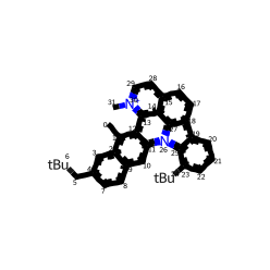 Cc1c2cc(CC(C)(C)C)ccc2cc2c1c1c3c(ccc4c5cccc(C(C)(C)C)c5n2c43)cc[n+]1C